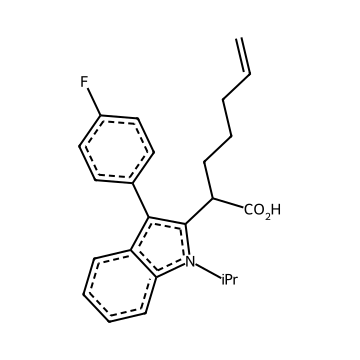 C=CCCCC(C(=O)O)c1c(-c2ccc(F)cc2)c2ccccc2n1C(C)C